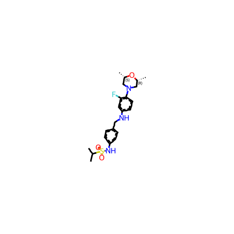 CC(C)S(=O)(=O)Nc1ccc(CNc2ccc(N3C[C@@H](C)O[C@@H](C)C3)c(F)c2)cc1